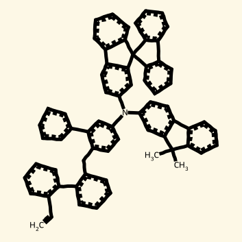 C=Cc1ccccc1-c1ccccc1Cc1ccc(N(c2ccc3c(c2)C(C)(C)c2ccccc2-3)c2ccc3c(c2)C2(c4ccccc4-c4ccccc42)c2ccccc2-3)cc1-c1ccccc1